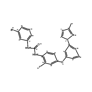 Cc1ncn(-c2cc(Oc3ccc(NC(=O)Nc4cncc(C(C)C)c4)c(F)c3)ccn2)n1